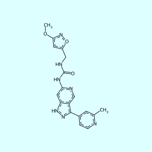 COc1cc(CNC(=O)Nc2cc3[nH]nc(-c4ccnc(C)c4)c3cn2)on1